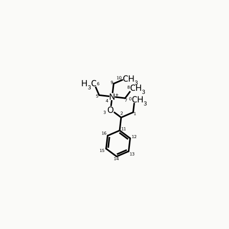 CCC(O[N+](CC)(CC)CC)c1ccccc1